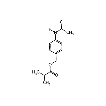 CC(C)C(=O)OCc1ccc(N(I)C(C)C)cc1